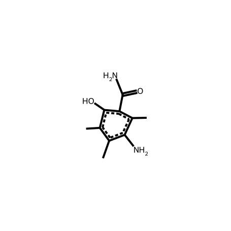 Cc1c(C)c(O)c(C(N)=O)c(C)c1N